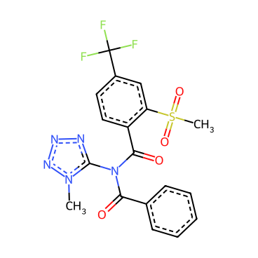 Cn1nnnc1N(C(=O)c1ccccc1)C(=O)c1ccc(C(F)(F)F)cc1S(C)(=O)=O